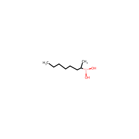 CCCCCCC(C)B(O)O